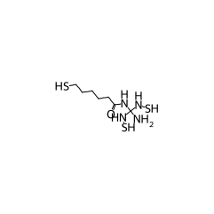 NC(NS)(NS)NC(=O)CCCCCS